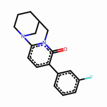 O=c1c(-c2cccc(F)c2)ccc2n1CC1CCCN2C1